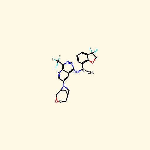 C[C@@H](Nc1nnc(C(F)(F)F)c2ncc(N3CC4CCOCC3C4)cc12)c1cccc2c1OCC2(F)F